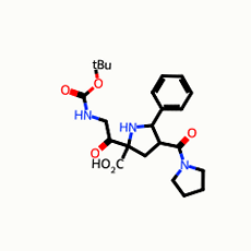 CC(C)(C)OC(=O)NCC(=O)C1(C(=O)O)CC(C(=O)N2CCCC2)C(c2ccccc2)N1